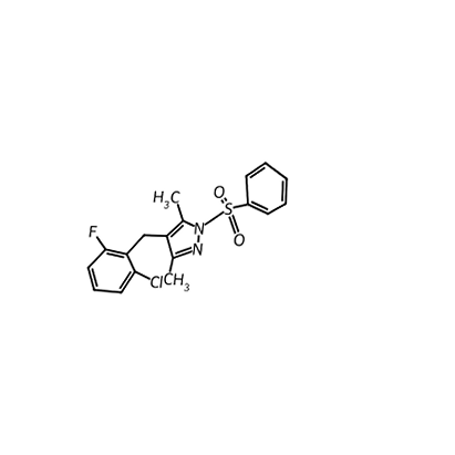 Cc1nn(S(=O)(=O)c2ccccc2)c(C)c1Cc1c(F)cccc1Cl